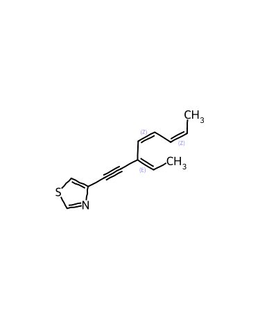 C\C=C/C=C\C(C#Cc1cscn1)=C/C